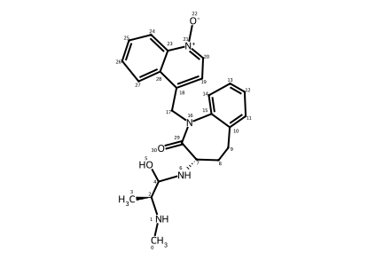 CN[C@@H](C)C(O)N[C@H]1CCc2ccccc2N(Cc2cc[n+]([O-])c3ccccc23)C1=O